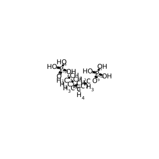 C.CC.CC.CC.CC.O=P(O)(O)O.O=P(O)(O)O